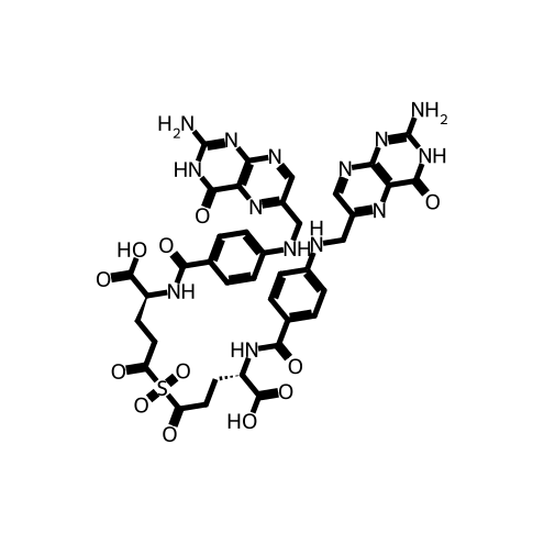 Nc1nc2ncc(CNc3ccc(C(=O)N[C@@H](CCC(=O)S(=O)(=O)C(=O)CC[C@H](NC(=O)c4ccc(NCc5cnc6nc(N)[nH]c(=O)c6n5)cc4)C(=O)O)C(=O)O)cc3)nc2c(=O)[nH]1